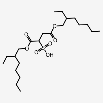 CCCCCC(CC)COC(=O)CC(C(=O)OCC(CC)CCCCC)S(=O)(=O)O